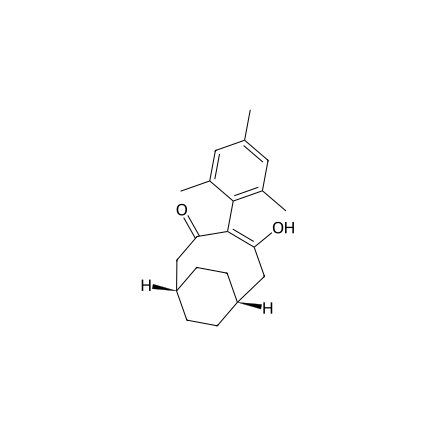 Cc1cc(C)c(/C2=C(\O)C[C@H]3CC[C@H](CC3)CC2=O)c(C)c1